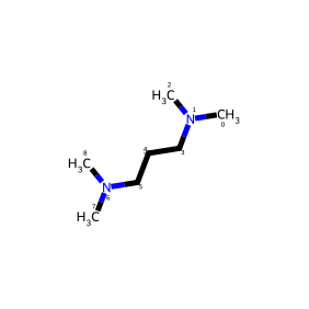 CN(C)C[CH]CN(C)C